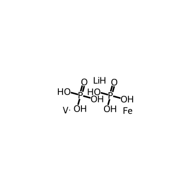 O=P(O)(O)O.O=P(O)(O)O.[Fe].[LiH].[V]